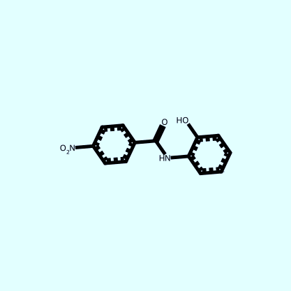 O=C(Nc1c[c]ccc1O)c1ccc([N+](=O)[O-])cc1